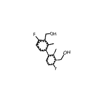 Cc1c(-c2ccc(F)c(CO)c2C)ccc(F)c1CO